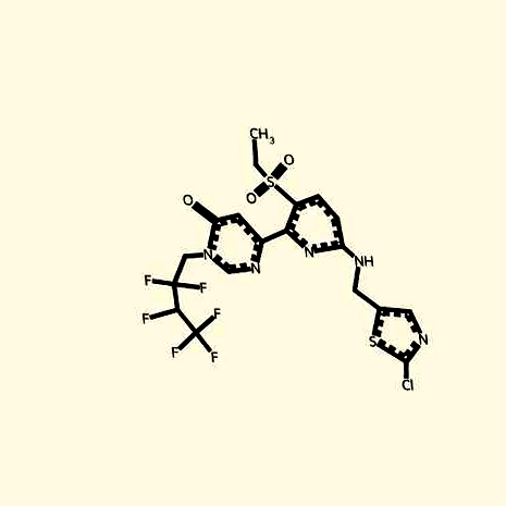 CCS(=O)(=O)c1ccc(NCc2cnc(Cl)s2)nc1-c1cc(=O)n(CC(F)(F)C(F)C(F)(F)F)cn1